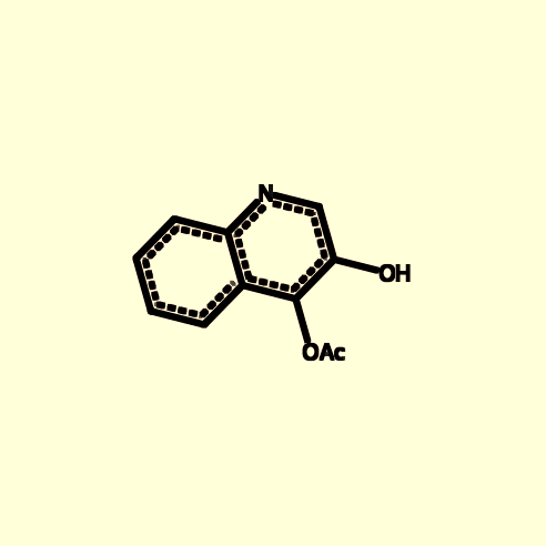 CC(=O)Oc1c(O)cnc2ccccc12